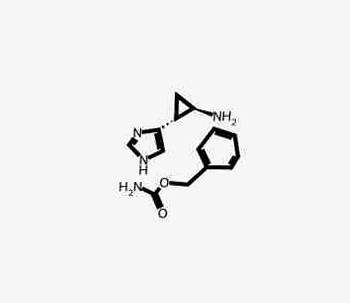 NC(=O)OCc1ccccc1.N[C@@H]1C[C@H]1c1c[nH]cn1